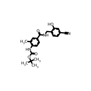 Cc1cc(C(=O)NCc2ccc(C#N)cc2O)ccc1NC(=O)OC(C)(C)C